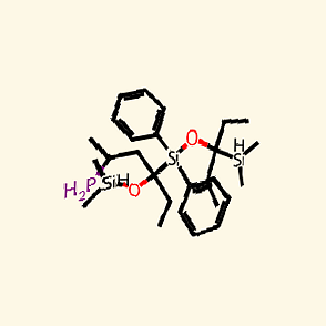 CCC(CC)(O[Si](c1ccccc1)(c1ccccc1)C(CC)(CC(C)P)O[SiH](C)C)[SiH](C)C